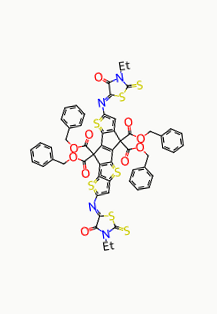 CCN1C(=O)/C(=N/c2cc3c(s2)C2=C(c4sc5cc(/N=C6\SC(=S)N(CC)C6=O)sc5c4C2(C(=O)OCc2ccccc2)C(=O)OCc2ccccc2)C3(C(=O)OCc2ccccc2)C(=O)OCc2ccccc2)SC1=S